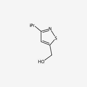 CC(C)c1cc(CO)sn1